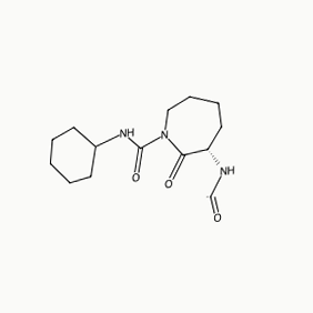 O=[C]N[C@H]1CCCCN(C(=O)NC2CCCCC2)C1=O